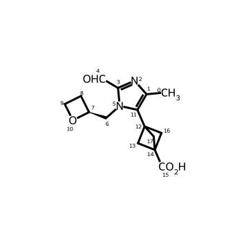 Cc1nc(C=O)n(C[C@@H]2CCO2)c1C12CC(C(=O)O)(C1)C2